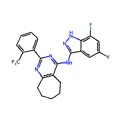 Fc1cc(F)c2[nH]nc(Nc3nc(-c4ccccc4C(F)(F)F)nc4c3CCCCC4)c2c1